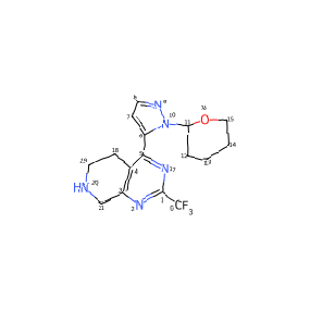 FC(F)(F)c1nc2c(c(-c3ccnn3C3CCCCO3)n1)CCNC2